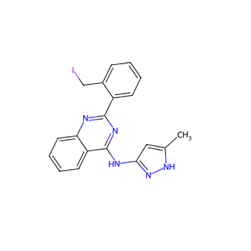 Cc1cc(Nc2nc(-c3ccccc3CI)nc3ccccc23)n[nH]1